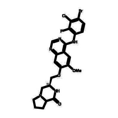 COc1cc2c(Nc3ccc(Br)c(Cl)c3F)ncnc2cc1OC[C@@H]1CN2CCCC2C(=O)N1